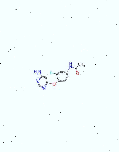 CC(=O)Nc1ccc(Oc2cc(N)ncn2)c(F)c1